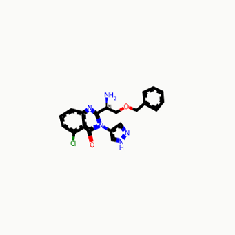 N[C@@H](COCc1ccccc1)c1nc2cccc(Cl)c2c(=O)n1-c1cn[nH]c1